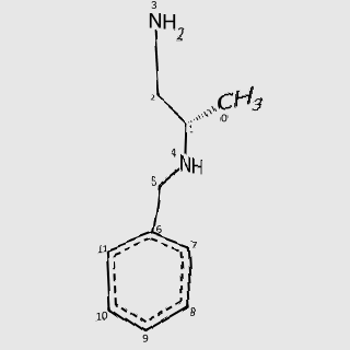 C[C@@H](CN)NCc1ccccc1